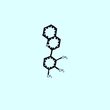 Cc1ccc(-c2ccc3ccccc3n2)c(C)c1C